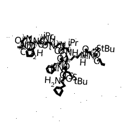 C=CCOC(=O)N[C@@H](CSSC(C)(C)C)C(=O)NCCCC[C@H](NC(=O)[C@H](Cc1ccccc1)NC(=O)C(CSSC(C)(C)C)OC(=O)[C@@H](N)Cc1ccccc1)C(=O)N[C@@H](CC(C)C)C(=O)N(C)[C@@H](C)C(=O)N(C)[C@@H](CC(C)C)C(=O)N[C@@H](C)C(=O)N(C)[C@@H](Cc1ccccc1)C(=O)N(C)[C@@H](C)C(=O)N[C@@H](C)C(=O)O